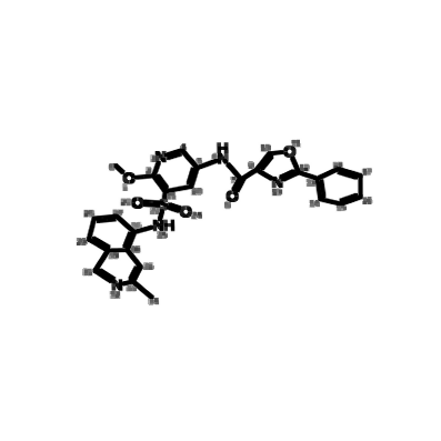 COc1ncc(NC(=O)c2coc(-c3ccccc3)n2)cc1S(=O)(=O)Nc1cccc2cnc(C)cc12